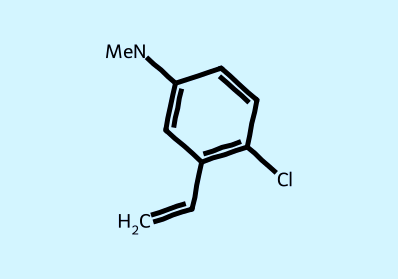 C=Cc1cc(NC)ccc1Cl